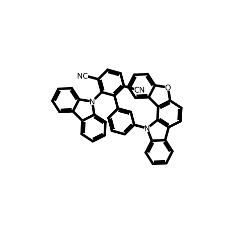 N#Cc1ccc(C#N)c(-n2c3ccccc3c3ccccc32)c1-c1cccc(-n2c3ccccc3c3ccc4oc5ccccc5c4c32)c1